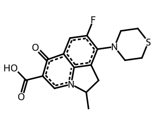 CC1Cc2c(N3CCSCC3)c(F)cc3c(=O)c(C(=O)O)cn1c23